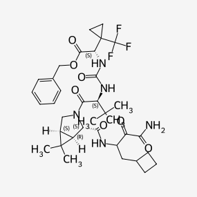 CC(C)(C)[C@H](NC(=O)N[C@H](C(=O)OCc1ccccc1)C1(C(F)(F)F)CC1)C(=O)N1C[C@H]2[C@@H]([C@H]1C(=O)NC(CC1CCC1)C(=O)C(N)=O)C2(C)C